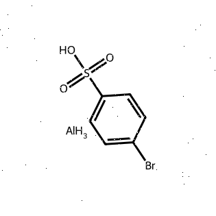 O=S(=O)(O)c1ccc(Br)cc1.[AlH3]